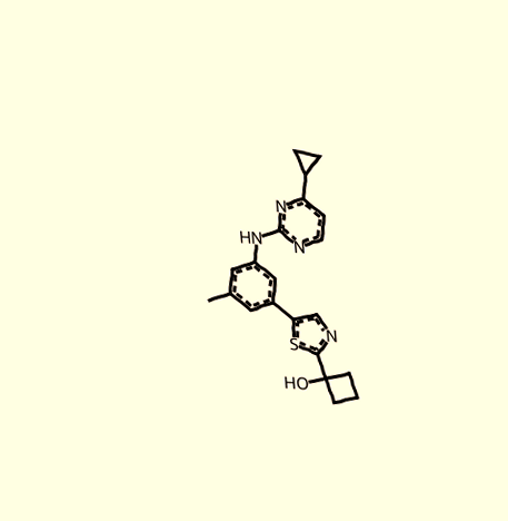 Cc1cc(Nc2nccc(C3CC3)n2)cc(-c2cnc(C3(O)CCC3)s2)c1